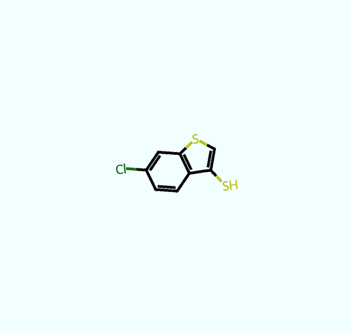 Sc1csc2cc(Cl)ccc12